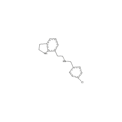 Clc1ccc(CNCCc2cccc3c2NCC3)cc1